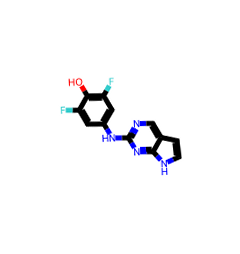 Oc1c(F)cc(Nc2ncc3cc[nH]c3n2)cc1F